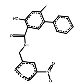 O=C(NCc1cccc([N+](=O)[O-])c1)c1cc(-c2ccccc2)c(F)cc1O